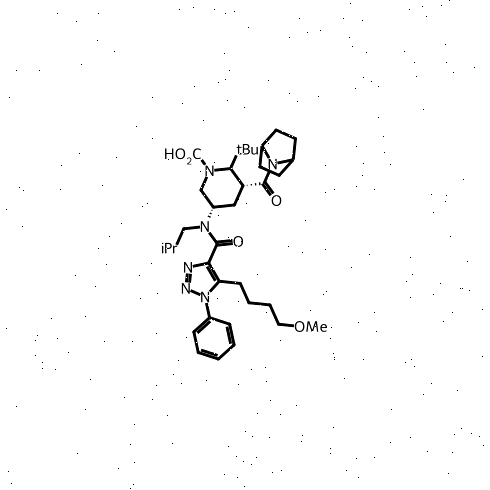 COCCCCc1c(C(=O)N(CC(C)C)[C@H]2C[C@@H](C(=O)N3C4CCC3CC4)C(C(C)(C)C)N(C(=O)O)C2)nnn1-c1ccccc1